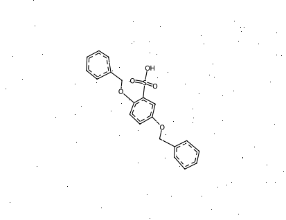 O=S(=O)(O)c1cc(OCc2ccccc2)ccc1OCc1ccccc1